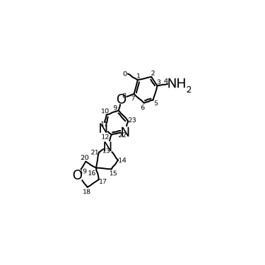 Cc1cc(N)ccc1Oc1cnc(N2CCC3(CCOC3)C2)nc1